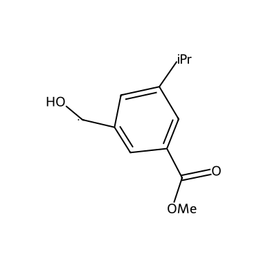 COC(=O)c1cc([CH]O)cc(C(C)C)c1